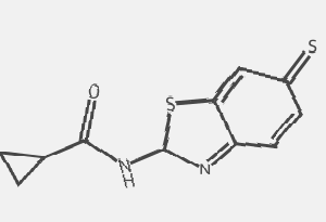 O=C(NC1N=C2C=CC(=S)C=C2S1)C1CC1